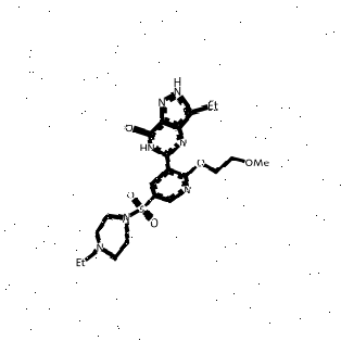 CCc1[nH]nc2c(=O)[nH]c(-c3cc(S(=O)(=O)N4CCN(CC)CC4)cnc3OCCOC)nc12